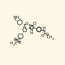 COC(=O)Nc1ccc(-c2[nH]c([C@@H]3C[C@H](C4CCN(S(C)(=O)=O)CC4)CN3C(=O)[C@H]3CC[C@H](CN)CC3)nc2Cl)cc1